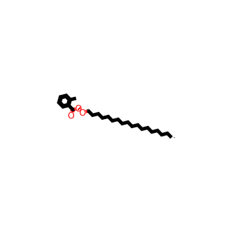 [CH2]CCCCCCCCCCCCCCCCCOOC(=O)c1ccccc1C